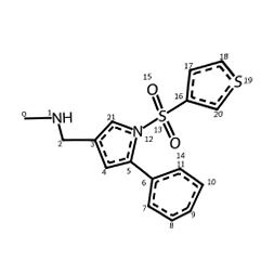 CNCc1cc(-c2ccccc2)n(S(=O)(=O)c2ccsc2)c1